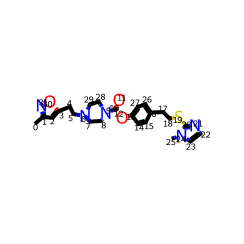 Cc1cc(CCN2CCN(C(=O)Oc3ccc(CCSc4nccn4C)cc3)CC2)on1